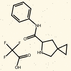 O=C(Nc1ccccc1)C1CC2(CC2)CN1.O=C(O)C(F)(F)F